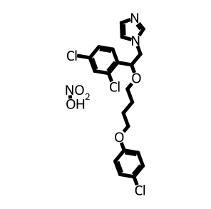 Clc1ccc(OCCCCOC(Cn2ccnc2)c2ccc(Cl)cc2Cl)cc1.O=[N+]([O-])O